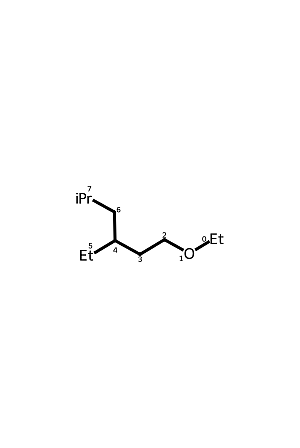 CCOCCC(CC)CC(C)C